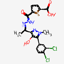 C/C(=N/NC(=O)c1ccc(C(=O)O)s1)c1nn(C)c(-c2ccc(Cl)c(Cl)c2)c1O